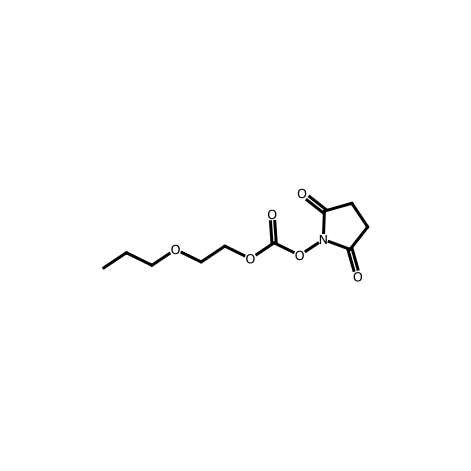 CCCOCCOC(=O)ON1C(=O)CCC1=O